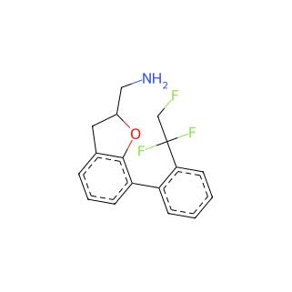 NCC1Cc2cccc(-c3ccccc3C(F)(F)CF)c2O1